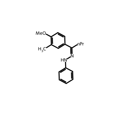 CCCC(=NNc1ccccc1)c1ccc(OC)c(C)c1